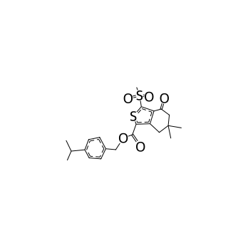 CC(C)c1ccc(COC(=O)c2sc(S(C)(=O)=O)c3c2CC(C)(C)CC3=O)cc1